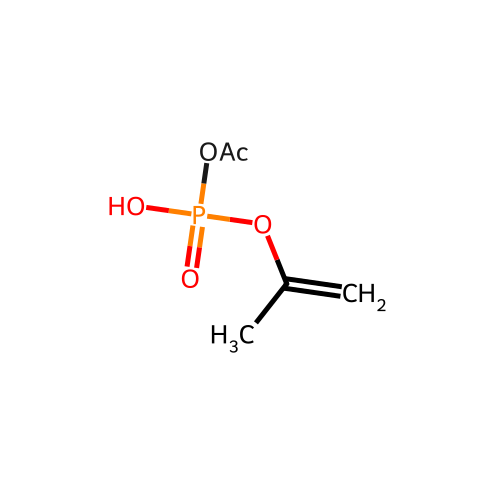 C=C(C)OP(=O)(O)OC(C)=O